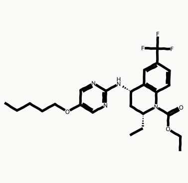 CCCCCOc1cnc(N[C@H]2C[C@@H](CC)N(C(=O)OCC)c3ccc(C(F)(F)F)cc32)nc1